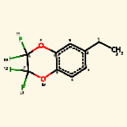 CCc1ccc2c(c1)OC(F)(F)C(F)(F)O2